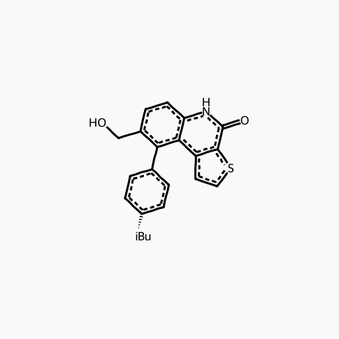 CC[C@@H](C)c1ccc(-c2c(CO)ccc3[nH]c(=O)c4sccc4c23)cc1